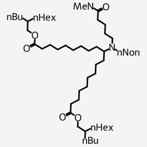 CCCCCCCCCN(CCCCC(=O)NC)C(CCCCCCCCC(=O)OCC(CCCC)CCCCCC)CCCCCCCCC(=O)OCC(CCCC)CCCCCC